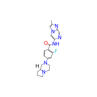 Cc1cn2cc(NC(=O)c3ccc(N4CCN5CCC[C@H]5C4)cc3F)ncc2n1